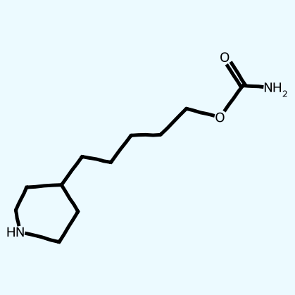 NC(=O)OCCCCCC1CCNCC1